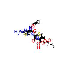 C#CCO/N=C(\C(=O)NC1C(=O)N2C(C(=O)O)=C(COC(C)=O)CS[C@@H]12)c1csc(N)n1